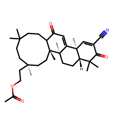 CC(=O)OCC[C@@]1(C)CCC(C)(C)CCC2C(=O)C=C3[C@@]4(C)C=C(C#N)C(=O)C(C)(C)[C@@H]4CC[C@@]3(C)[C@]2(C)CC1